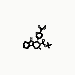 COC(=O)c1ccc([C@H]2c3[nH]c4ccccc4c3C[C@H](C)N2C(=O)OC(C)(C)C)cn1